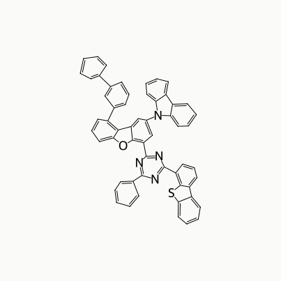 c1ccc(-c2cccc(-c3cccc4oc5c(-c6nc(-c7ccccc7)nc(-c7cccc8c7sc7ccccc78)n6)cc(-n6c7ccccc7c7ccccc76)cc5c34)c2)cc1